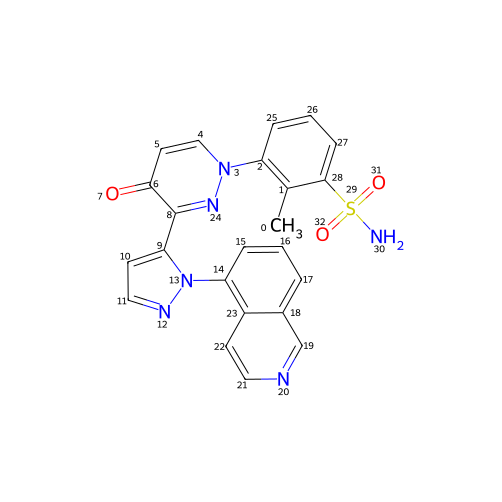 Cc1c(-n2ccc(=O)c(-c3ccnn3-c3cccc4cnccc34)n2)cccc1S(N)(=O)=O